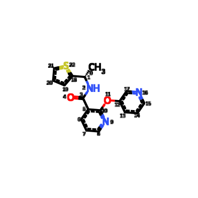 C[C@H](NC(=O)c1cccnc1Oc1cccnc1)c1cccs1